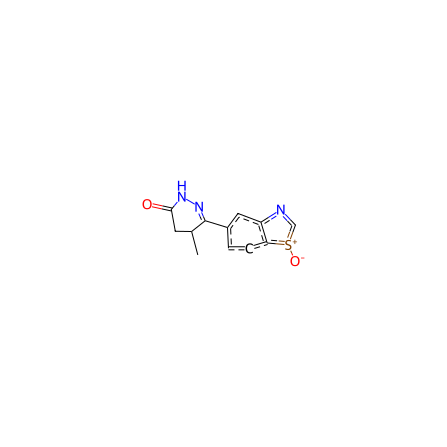 CC1CC(=O)NN=C1c1ccc2c(c1)nc[s+]2[O-]